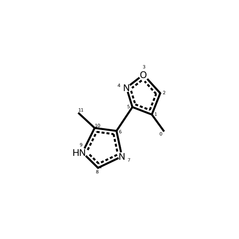 Cc1conc1-c1n[c][nH]c1C